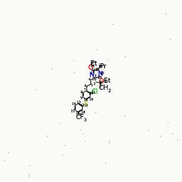 C=CC[C@]1(CCCc2ccc(Sc3cccc(C(F)(F)F)c3)cc2Cl)N=C(OCC)[C@H](C(C)C)N=C1OCC